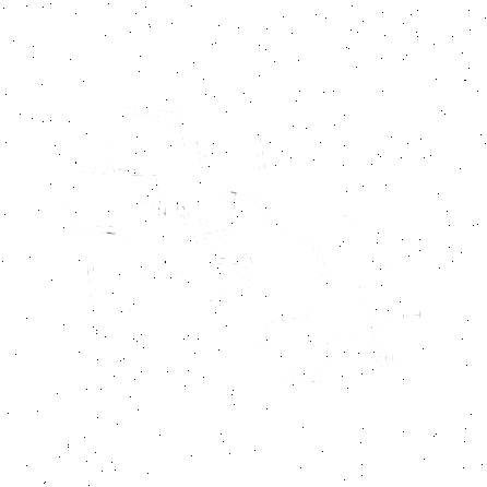 CC1(C)c2cccc(-c3ccc(N(c4ccccc4)c4ccccc4)cc3)c2-c2c(-c3ccc4c(c3)c3ccccc3n4-c3ccccc3)cccc21